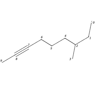 [CH2]CC(C)CCCC#CC